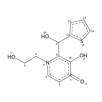 O=c1ccn(CCO)c(C(O)c2cccs2)c1O